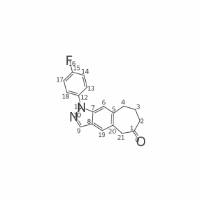 O=C1CCCc2cc3c(cnn3-c3ccc(F)cc3)cc2C1